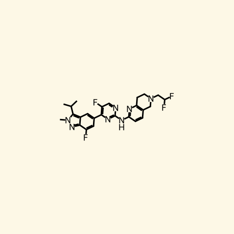 CC(C)c1c2cc(-c3nc(Nc4ccc5c(n4)CCN(CC(F)F)C5)ncc3F)cc(F)c2nn1C